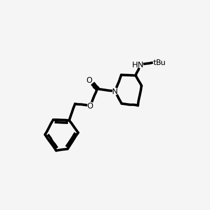 CC(C)(C)NC1CCCN(C(=O)OCc2ccccc2)C1